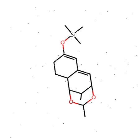 CC1OC2C=C3C=C(O[Si](C)(C)C)CCC3C(O1)C2C